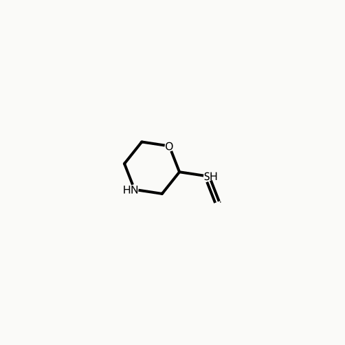 [CH]=[SH]C1CNCCO1